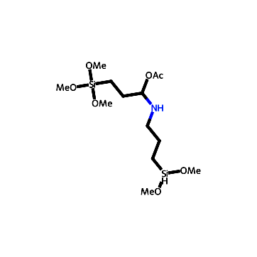 CO[SiH](CCCNC(CC[Si](OC)(OC)OC)OC(C)=O)OC